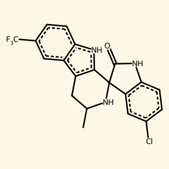 CC1Cc2c([nH]c3ccc(C(F)(F)F)cc23)C2(N1)C(=O)Nc1ccc(Cl)cc12